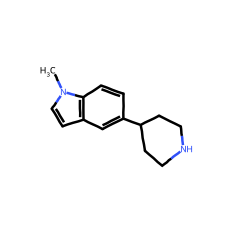 Cn1ccc2cc(C3CCNCC3)ccc21